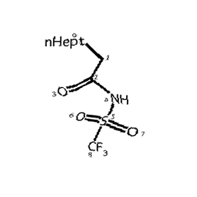 CCCCCCCCC(=O)NS(=O)(=O)C(F)(F)F